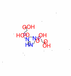 O=C(O)CCP(=O)(O)CN1CCNCCN(CP(=O)(O)CCC(=O)O)CC1